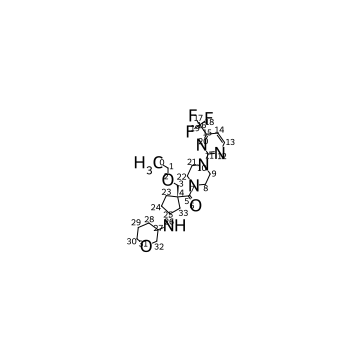 CCOC[C@]1(C(=O)N2CCN(c3nccc(C(F)(F)F)n3)CC2)CC[C@@H](NC2CCCOC2)C1